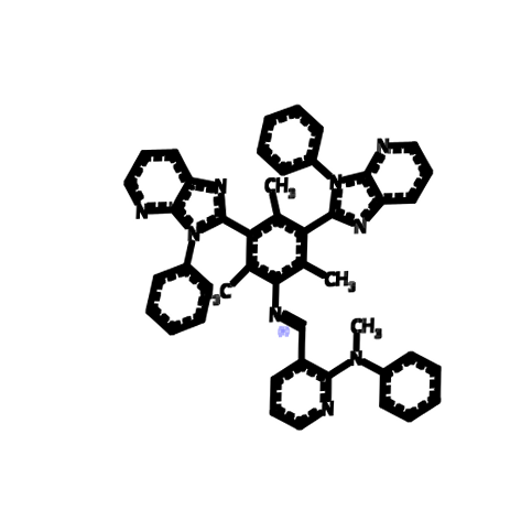 Cc1c(/N=C/c2cccnc2N(C)c2ccccc2)c(C)c(-c2nc3cccnc3n2-c2ccccc2)c(C)c1-c1nc2cccnc2n1-c1ccccc1